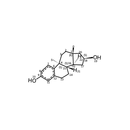 C[C@]12CC[C@]3(C)c4ccc(O)cc4CC[C@H]3[C@@H]1C[C@H](O)C2